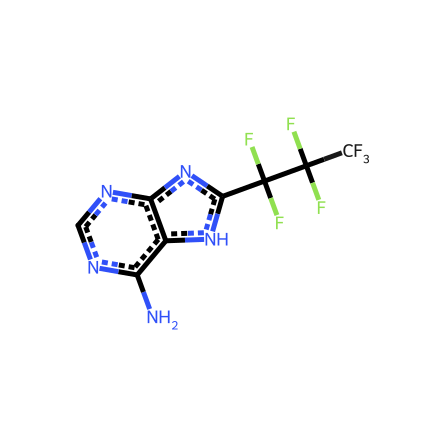 Nc1ncnc2nc(C(F)(F)C(F)(F)C(F)(F)F)[nH]c12